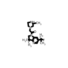 CC1CN(CC(=O)N2CC(C)(C)c3ncc(C(C)(C)F)cc32)CCN1